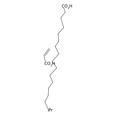 C=CC(=O)O.CC(C)CCCCCCCCCCCCCCC(=O)O